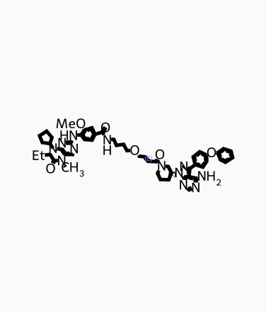 CCC1C(=O)N(C)c2cnc(Nc3ccc(C(=O)NCCCCOC/C=C/C(=O)N4CCC[C@@H](n5nc(-c6ccc(Oc7ccccc7)cc6)c6c(N)ncnc65)C4)cc3OC)nc2N1C1CCCC1